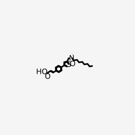 CCCCCCCC(=O)N(C)Cc1cc(-c2ccc(/C=C/C(=O)O)cc2)cs1